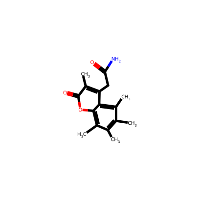 Cc1c(C)c(C)c2c(CC(N)=O)c(C)c(=O)oc2c1C